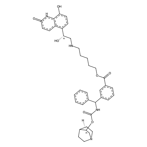 O=C(NC(c1ccccc1)c1cccc(C(=O)OCCCCCNC[C@H](O)c2ccc(O)c3[nH]c(=O)ccc23)c1)O[C@H]1CN2CCC1CC2